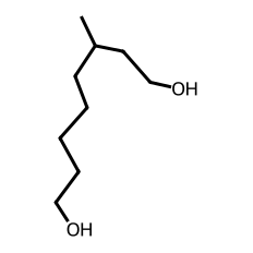 CC(CCO)CCCCCO